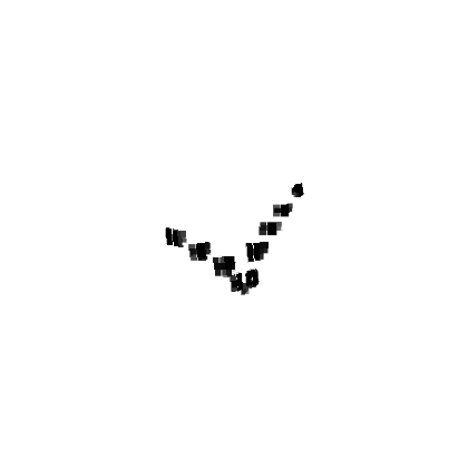 F.F.F.F.F.F.O.[S]